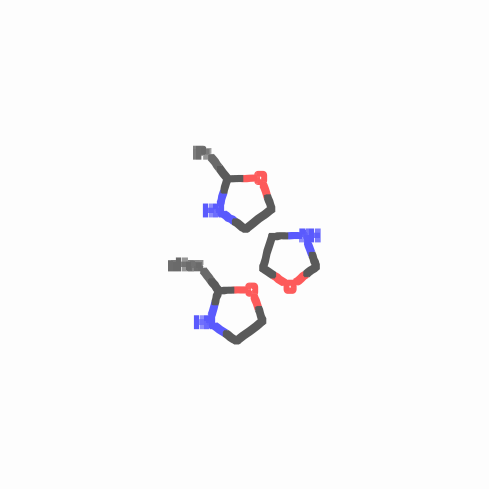 C1COCN1.CC(C)C1NCCO1.CCCCCCC1NCCO1